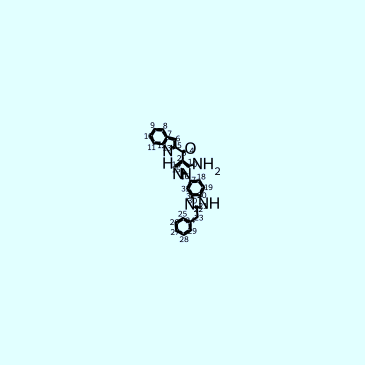 Nc1c(C(=O)c2cc3ccccc3[nH]2)cnn1-c1ccc2[nH]c(Cc3ccccc3)nc2c1